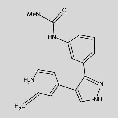 C=C/C=C(\C=C/N)c1c[nH]nc1-c1cccc(NC(=O)NC)c1